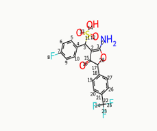 NC1=C(C(c2ccc(F)cc2)S(=O)(=O)O)C(=O)C(c2ccc(C(F)(F)F)cc2)O1